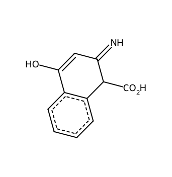 N=C1C=C(O)c2ccccc2C1C(=O)O